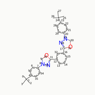 CC(C)(C)c1ccc(N2COC(c3cccc(C4=NN(c5ccc(C(C)(C)C)cc5)CO4)c3)=N2)cc1